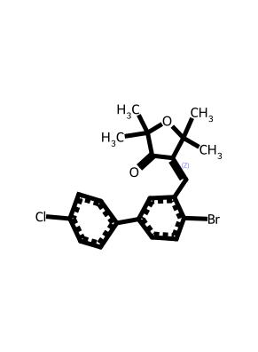 CC1(C)OC(C)(C)/C(=C/c2cc(-c3ccc(Cl)cc3)ccc2Br)C1=O